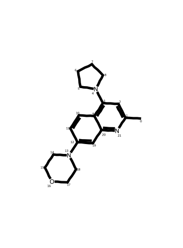 Cc1cc(N2CCCC2)c2ccc(N3CCOCC3)cc2n1